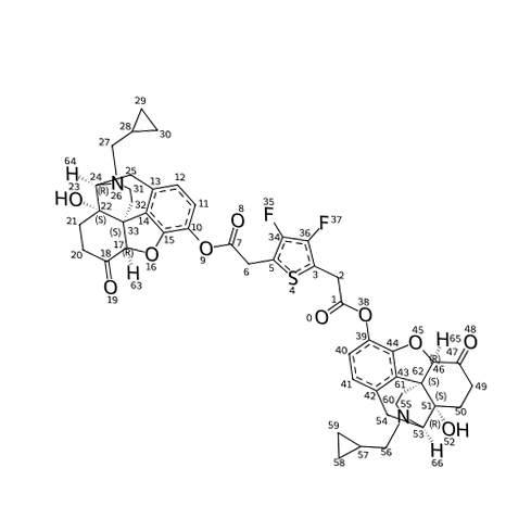 O=C(Cc1sc(CC(=O)Oc2ccc3c4c2O[C@H]2C(=O)CC[C@@]5(O)[C@@H](C3)N(CC3CC3)CC[C@]425)c(F)c1F)Oc1ccc2c3c1O[C@H]1C(=O)CC[C@@]4(O)[C@@H](C2)N(CC2CC2)CC[C@]314